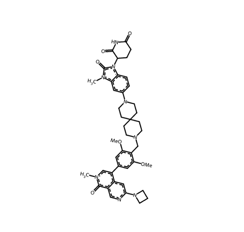 COc1cc(-c2cn(C)c(=O)c3cnc(N4CCC4)cc23)cc(OC)c1CN1CCC2(CC1)CCN(c1ccc3c(c1)n(C)c(=O)n3C1CCC(=O)NC1=O)CC2